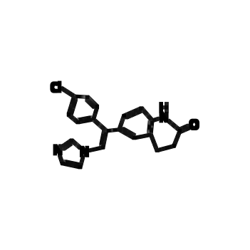 O=C1CCc2cc(C(=Cn3ccnc3)c3ccc(Cl)cc3)ccc2N1